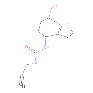 C#CCNC(=O)NC1CCC(O)c2sccc21